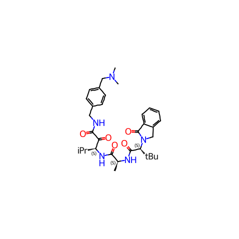 CC(C)[C@H](NC(=O)[C@H](C)NC(=O)[C@@H](N1Cc2ccccc2C1=O)C(C)(C)C)C(=O)C(=O)NCc1ccc(CN(C)C)cc1